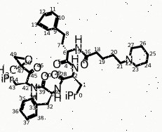 CC(C)C[C@H](NC(=O)[C@H](CCc1ccccc1)NC(=O)CCCCN1CCCCC1)C(=O)N[C@@H](Cc1ccccc1)C(=O)N[C@@H](CC(C)C)C(=O)[C@@]1(C)CO1